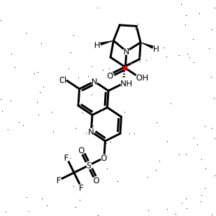 O=C(O)N1[C@@H]2CC[C@H]1C[C@@H](Nc1nc(Cl)cc3nc(OS(=O)(=O)C(F)(F)F)ccc13)C2